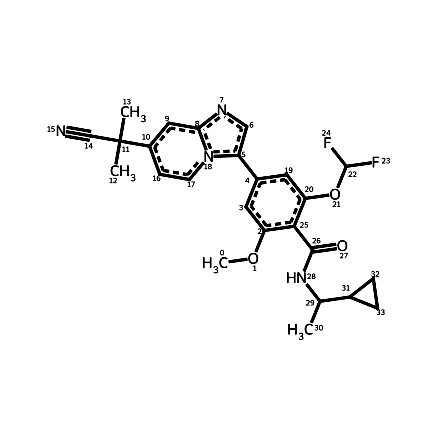 COc1cc(-c2cnc3cc(C(C)(C)C#N)ccn23)cc(OC(F)F)c1C(=O)NC(C)C1CC1